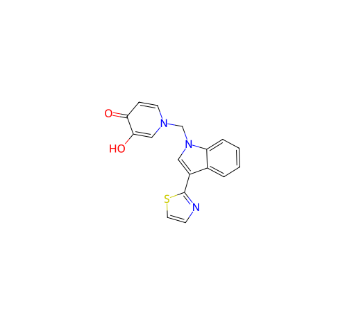 O=c1ccn(Cn2cc(-c3nccs3)c3ccccc32)cc1O